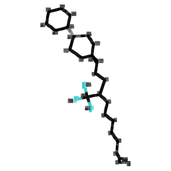 CCCCCCCC(CCC[C@H]1CC[C@H](C2CCCCC2)CC1)C(F)(F)F